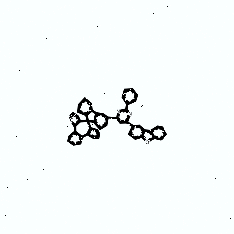 c1ccc(-c2nc(-c3ccc4c(c3)-c3ccccc3C43c4ccccc4-c4ccccc4-c4ccccc43)cc(-c3ccc4oc5ccccc5c4c3)n2)cc1